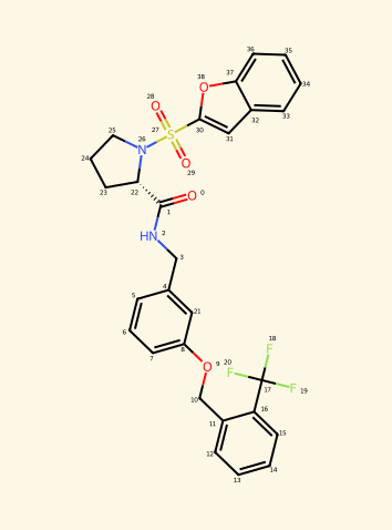 O=C(NCc1cccc(OCc2ccccc2C(F)(F)F)c1)[C@@H]1CCCN1S(=O)(=O)c1cc2ccccc2o1